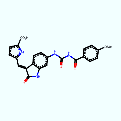 COc1ccc(C(=O)NC(=O)Nc2ccc3c(c2)NC(=O)C3=Cc2ccc(C(=O)O)[nH]2)cc1